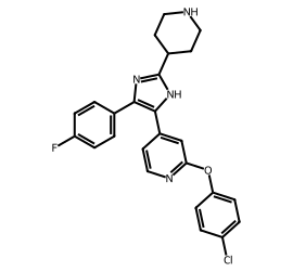 Fc1ccc(-c2nc(C3CCNCC3)[nH]c2-c2ccnc(Oc3ccc(Cl)cc3)c2)cc1